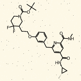 CNC(=O)c1cc(C(=O)N[C@H]2C[C@@H]2C)cc(Cc2cccc(OCCC3CN(C(=O)OC(C)(C)C)CCC3(F)F)c2)n1